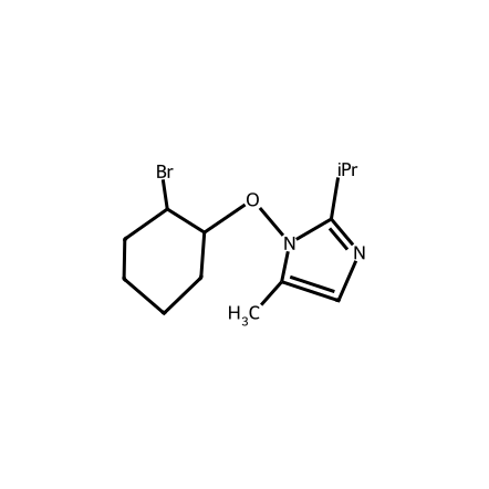 Cc1cnc(C(C)C)n1OC1CCCCC1Br